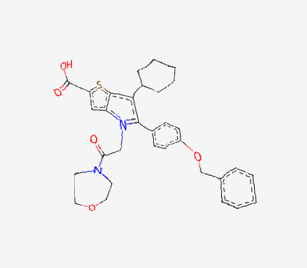 O=C(O)c1cc2c(s1)c(C1CCCCC1)c(-c1ccc(OCc3ccccc3)cc1)n2CC(=O)N1CCOCC1